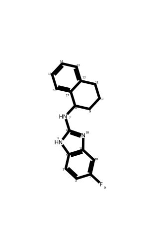 Fc1ccc2[nH]c(NC3CCCc4ccccc43)nc2c1